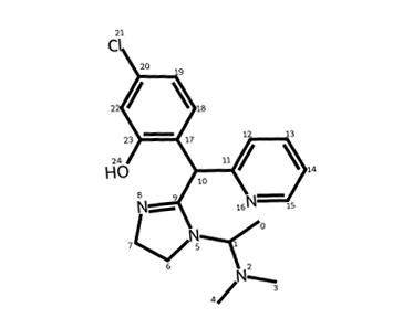 CC(N(C)C)N1CCN=C1C(c1ccccn1)c1ccc(Cl)cc1O